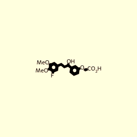 COc1cc(CCC(O)c2cccc(OCC(=O)O)c2)cc(F)c1OC